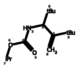 C=C(C(NC(=O)OC(C)C)C(C)(C)C)C(C)(C)C